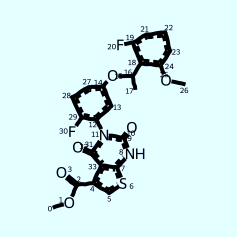 COC(=O)c1csc2[nH]c(=O)n(-c3cc(OC(C)c4c(F)cccc4OC)ccc3F)c(=O)c12